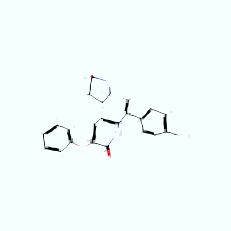 CC(C)(C)c1ccc(C(=C[C@H]2CCC(=O)N2)c2ccc(Oc3ccccc3)c(=O)[nH]2)cc1